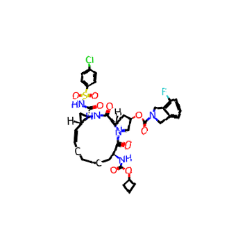 O=C(N[C@H]1CCCCC/C=C\[C@@H]2C[C@@]2(C(=O)NS(=O)(=O)c2ccc(Cl)cc2)NC(=O)[C@@H]2C[C@@H](OC(=O)N3Cc4cccc(F)c4C3)CN2C1=O)OC1CCC1